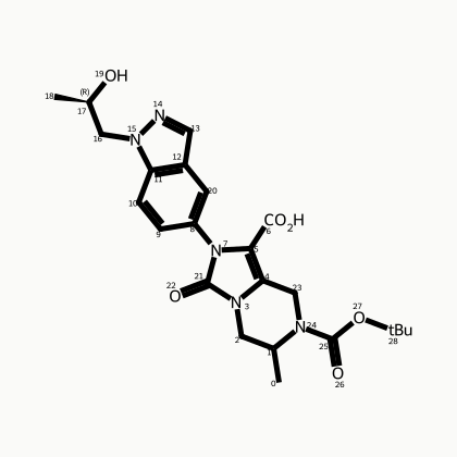 CC1Cn2c(c(C(=O)O)n(-c3ccc4c(cnn4C[C@@H](C)O)c3)c2=O)CN1C(=O)OC(C)(C)C